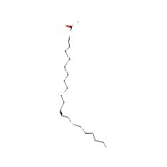 CCCCCCCC/C=C\CCCCCCCCCCCC(=O)O.[Gd]